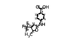 CC1ON(Nc2ccc(C(=O)O)cc2)C=C1C(F)(F)F